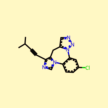 CC(C)C#Cc1ncn2c1Cc1cnnn1-c1cc(Cl)ccc1-2